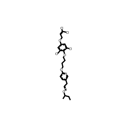 CCC(C)O/N=C/Cc1ccc(OCCCCOc2c(Cl)cc(OCC=C(Cl)Cl)cc2Cl)nc1